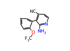 N#Cc1ccnc(N)c1-c1ccccc1OC(F)(F)F